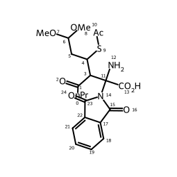 CCCC(=O)C(C(CC(OC)OC)SC(C)=O)C(N)(C(=O)O)N1C(=O)c2ccccc2C1=O